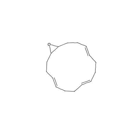 C1=C/CC/C=C/CCC2OC2CC/C=C/CC/1